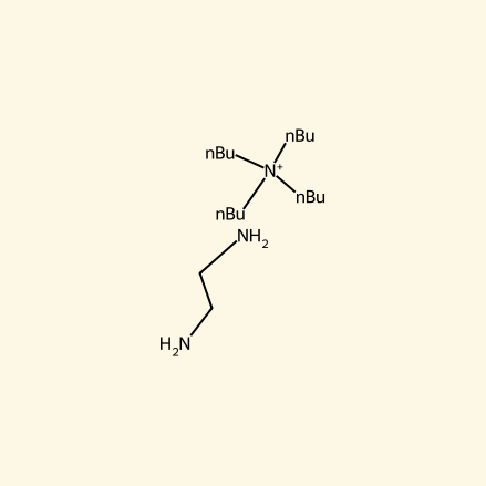 CCCC[N+](CCCC)(CCCC)CCCC.NCCN